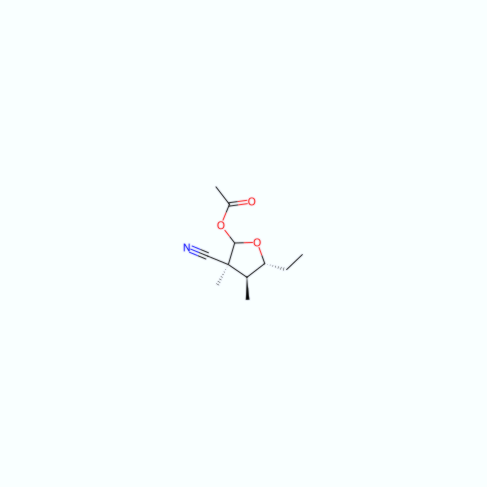 CC[C@H]1OC(OC(C)=O)[C@](C)(C#N)[C@@H]1C